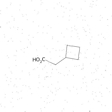 O=C(O)CC1CCC1